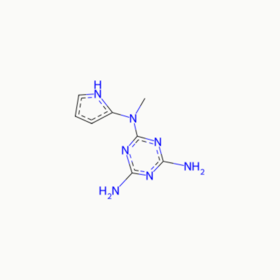 CN(c1nc(N)nc(N)n1)c1ccc[nH]1